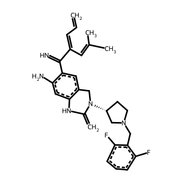 C=C/C=C(\C=C(C)C)C(=N)c1cc2c(cc1N)NC(=C)N([C@@H]1CCN(Cc3c(F)cccc3F)C1)C2